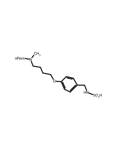 CCCCCN(C)CCCCOc1ccc(CNS(=O)(=O)O)cc1